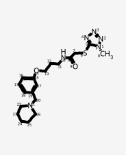 Cn1nnnc1SCC(=O)NCCCOc1cccc(CN2CCCCC2)c1